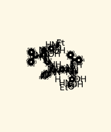 CCC(=O)N[C@H]1C[C@@H](n2cnc3c(NCC(c4ccccc4)c4ccccc4)nc(N4CCC(Nc5nc(NC6CCN(c7nc(NCC(c8ccccc8)c8ccccc8)c8ncn([C@@H]9C[C@H](NC(=O)CC)[C@@H](O)[C@H]9O)c8n7)C6)nc(N6CCN(C)CC6)n5)C4)nc32)[C@H](O)[C@@H]1O